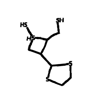 SCC1C(C2SCCS2)C[SH]1S